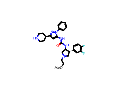 COCCN1C[C@@H](NC(=O)Nc2cc(C3CCNCC3)nn2-c2ccccc2)[C@H](c2ccc(F)c(F)c2)C1